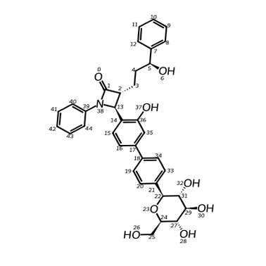 O=C1[C@H](CC[C@H](O)c2ccccc2)[C@@H](c2ccc(-c3ccc([C@@H]4O[C@H](CO)[C@@H](O)[C@H](O)[C@H]4O)cc3)cc2O)N1c1ccccc1